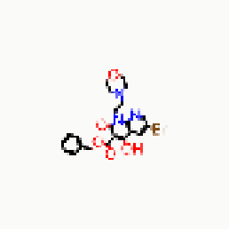 O=C(OCc1ccccc1)c1c(O)c2cc(Br)cnc2n(CCN2CCOCC2)c1=O